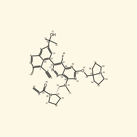 C#Cc1c(F)ccc2cc(C(C)(C)O)cc(-c3ncc4c(N(C)C[C@@H]5CCCN5C(=O)C=C)nc(OCC56CCCN5CCC6)nc4c3F)c12